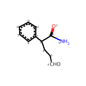 NC(=O)C(CCC=O)c1ccccc1